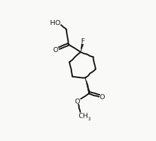 COC(=O)[C@H]1CC[C@](F)(C(=O)CO)CC1